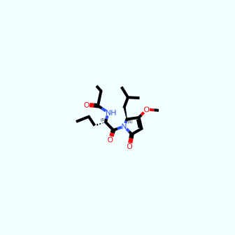 CCC[C@H](NC(=O)CC)C(=O)N1C(=O)C=C(OC)[C@@H]1CC(C)C